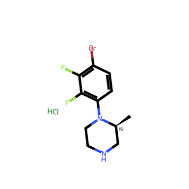 C[C@H]1CNCCN1c1ccc(Br)c(F)c1F.Cl